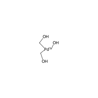 O[CH2][Pd-3]([CH2]O)[CH2]O